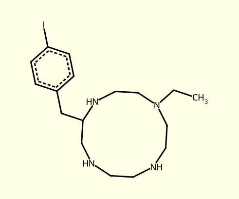 CCN1CCNCCNCC(Cc2ccc(I)cc2)NCC1